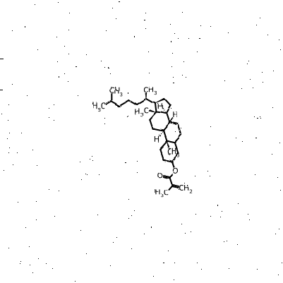 C=C(C)C(=O)OC1CC[C@@]2(C)C(CC[C@H]3[C@@H]4CC[C@H]([C@H](C)CCCC(C)C)[C@@]4(C)CC[C@@H]32)C1